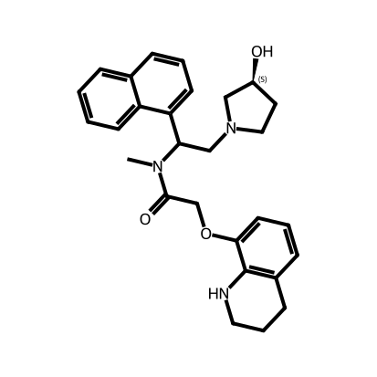 CN(C(=O)COc1cccc2c1NCCC2)C(CN1CC[C@H](O)C1)c1cccc2ccccc12